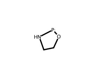 C1CO[P]N1